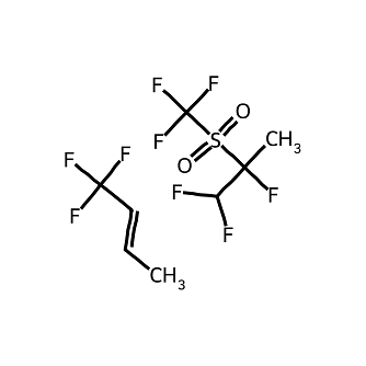 CC(F)(C(F)F)S(=O)(=O)C(F)(F)F.CC=CC(F)(F)F